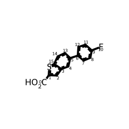 O=C(O)c1cc2cc(-c3ccc(F)cc3)ccc2s1